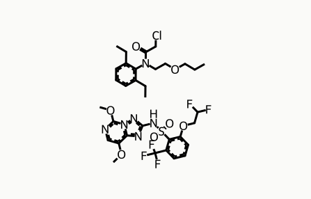 CCCOCCN(C(=O)CCl)c1c(CC)cccc1CC.COc1cnc(OC)n2nc(NS(=O)(=O)c3c(OCC(F)F)cccc3C(F)(F)F)nc12